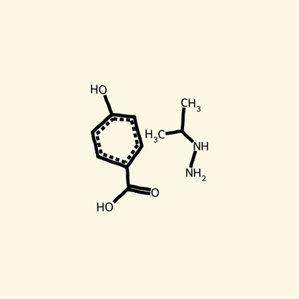 CC(C)NN.O=C(O)c1ccc(O)cc1